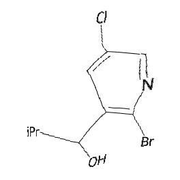 CC(C)C(O)c1cc(Cl)cnc1Br